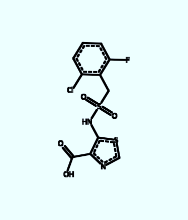 O=C(O)c1ncsc1NS(=O)(=O)Cc1c(F)cccc1Cl